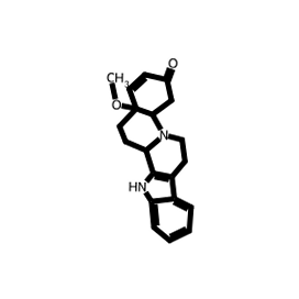 COC12C=CC(=O)CC1N1CCc3c([nH]c4ccccc34)C1CC2